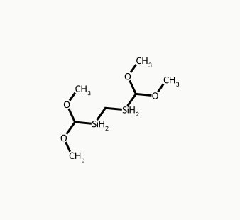 COC(OC)[SiH2]C[SiH2]C(OC)OC